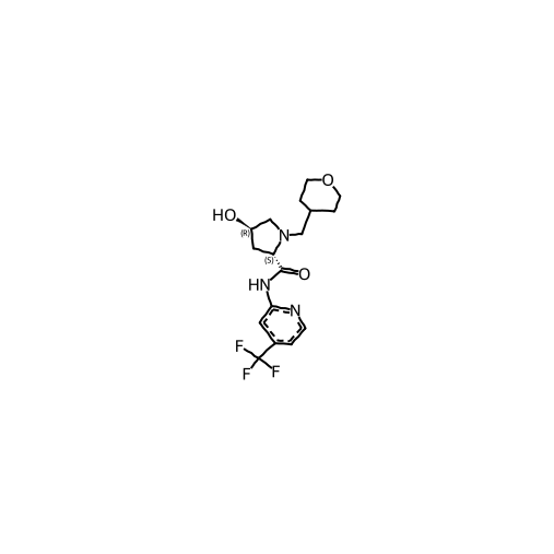 O=C(Nc1cc(C(F)(F)F)ccn1)[C@@H]1C[C@@H](O)CN1CC1CCOCC1